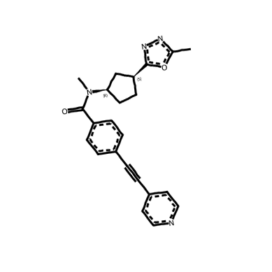 Cc1nnc([C@H]2CC[C@@H](N(C)C(=O)c3ccc(C#Cc4ccncc4)cc3)C2)o1